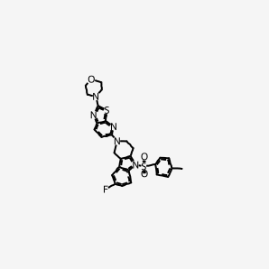 Cc1ccc(S(=O)(=O)n2c3c(c4cc(F)ccc42)CN(c2ccc4nc(N5CCOCC5)sc4n2)CC3)cc1